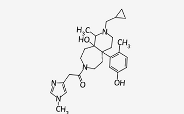 Cc1ccc(O)cc1C12CCN(C(=O)Cc3cn(C)cn3)CCC1(O)C(C)N(CC1CC1)CC2